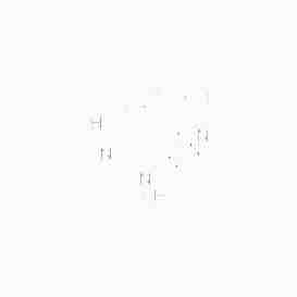 Cc1ccc2cc1-c1cnn3ccc(nc13)N(C)CCN1CCC[C@H]1CO2